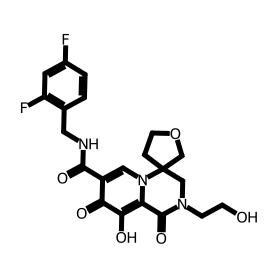 O=C(NCc1ccc(F)cc1F)c1cn2c(c(O)c1=O)C(=O)N(CCO)CC21CCOC1